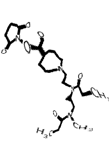 CCC(=O)N(C)CCN(CCN1CCC(C(=O)ON2C(=O)CCC2=O)CC1)C(=O)CC